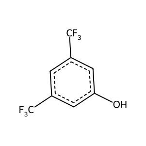 Oc1cc(C(F)(F)F)cc(C(F)(F)F)c1